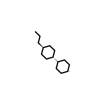 CCC[C@H]1CC[C@H](C2CC[CH]CC2)CC1